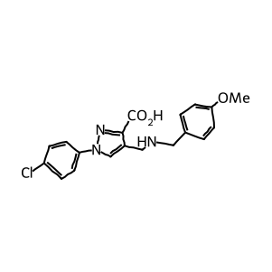 COc1ccc(CNCc2cn(-c3ccc(Cl)cc3)nc2C(=O)O)cc1